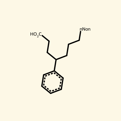 CCCCCCCCCCCCC(CCC(=O)O)c1ccccc1